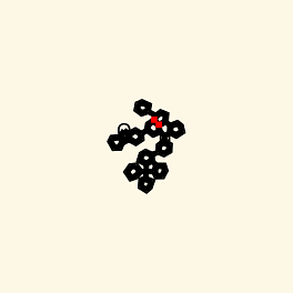 c1ccc(-c2ccc(-c3ccccc3N(c3cccc(-c4ccc5c(c4)oc4ccccc45)c3)c3cccc(-c4cccc5c4-c4ccccc4C5(c4ccccc4)c4ccccc4)c3)cc2)cc1